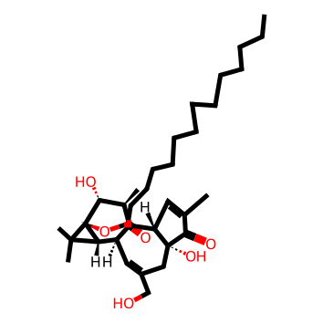 CCCCCCCCCCCCCC(=O)O[C@@]12[C@H](O)[C@@H](C)C3[C@@H](C=C(CO)C[C@]4(O)C(=O)C(C)=C[C@@H]34)[C@@H]1C2(C)C